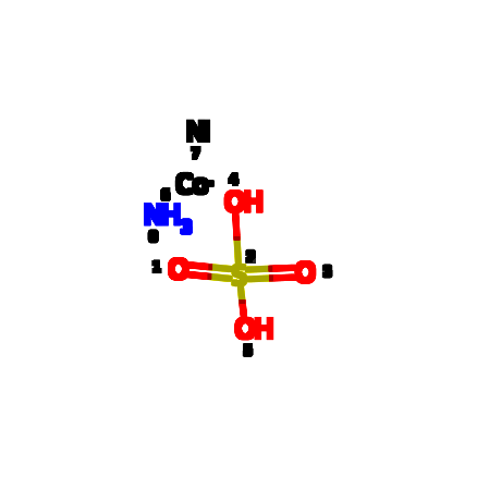 N.O=S(=O)(O)O.[Co].[Ni]